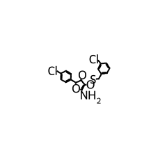 NC1=C(OSCc2cccc(Cl)c2)C(=O)C(c2ccc(Cl)cc2)O1